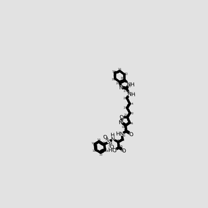 O=C(NCC(NS(=O)(=O)c1ccccc1)C(=O)O)C1=NOC(CCCCNc2nc3c([nH]2)CCCC3)C1